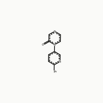 CC(C)c1ccc(-n2ccncc2=O)cn1